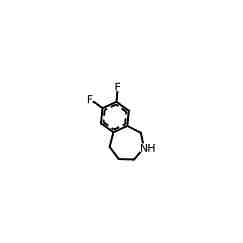 Fc1cc2c(cc1F)CNCCC2